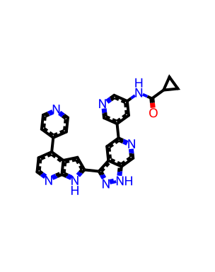 O=C(Nc1cncc(-c2cc3c(-c4cc5c(-c6ccncc6)ccnc5[nH]4)n[nH]c3cn2)c1)C1CC1